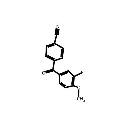 COc1ccc(C(=O)c2ccc(C#N)cc2)cc1F